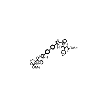 COC(=O)N[C@H](C(=O)N1CCC[C@H]1c1ncc(-c2ccc(-c3ccc(-c4cnc(C5C6CCC(C6)N5C(=O)[C@@H](NC(=O)OC)C5CCOCC5)[nH]4)cc3)cc2)[nH]1)C(C)C